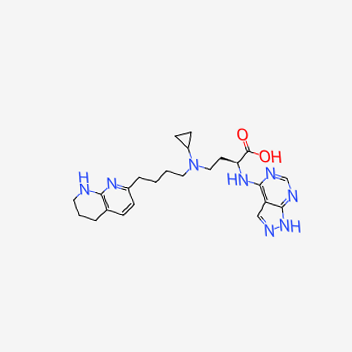 O=C(O)[C@H](CCN(CCCCc1ccc2c(n1)NCCC2)C1CC1)Nc1ncnc2[nH]ncc12